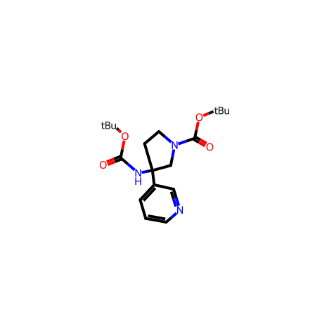 CC(C)(C)OC(=O)NC1(c2cccnc2)CCN(C(=O)OC(C)(C)C)C1